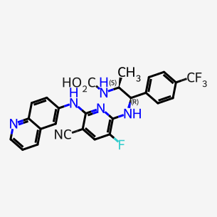 C[C@H](NC(=O)O)[C@H](Nc1nc(Nc2ccc3ncccc3c2)c(C#N)cc1F)c1ccc(C(F)(F)F)cc1